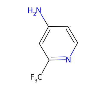 Nc1[c]cnc(C(F)(F)F)c1